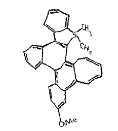 COc1ccc2c(c1)c1ccccc1c1c3c(c4ccccc4c21)-c1ccccc1S3(C)C